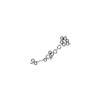 C=CC(=O)OCCCCCOc1ccc(C(=O)Oc2ccc(-c3ccc(C4O[C@@H](C(=O)OCC)[C@H](C(=O)OCC)O4)cc3)cc2)c(F)c1